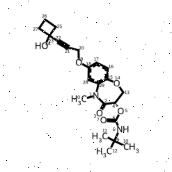 CN1C(=O)[C@@H](OC(=O)NC(C)(C)C)COc2ccc(OCC#CC3(O)CCC3)cc21